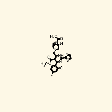 COC(=O)C1=C(CN2C[C@H]3CC2CN3C(C)=O)NC(c2nccs2)=NC1c1ccc(F)cc1Cl